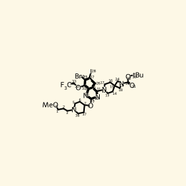 COCCCN1CCC(Oc2nc(N3CCC4(CC3)CN(C(=O)OC(C)(C)C)C4)c3cc(I)c(Br)c(OCC(F)(F)F)c3n2)CC1